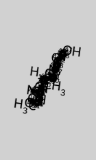 Cc1c(-c2nc3cc(CN4CC[C@@](C)(C(=O)O)C4)cc(C#N)c3o2)cccc1-c1cccc(-c2nc3c(s2)CN(C(=O)CN2CC[C@@H](O)C2)C3)c1C